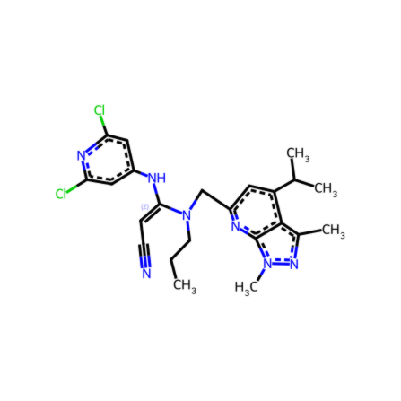 CCCN(Cc1cc(C(C)C)c2c(C)nn(C)c2n1)/C(=C\C#N)Nc1cc(Cl)nc(Cl)c1